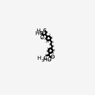 CCC(C(=O)O)c1ccc(CCCc2ccc(C(CC)C(=O)O)cc2)cc1